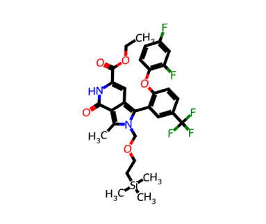 CCOC(=O)c1cc2c(-c3cc(C(F)(F)F)ccc3Oc3ccc(F)cc3F)n(COCC[Si](C)(C)C)c(C)c2c(=O)[nH]1